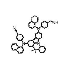 CC1(C)c2ccccc2-n2c3ccc(N(c4ccc(C=N)cc4)c4cccc5c4C=CCC5)cc3c3cc(N(c4ccc(C#N)cc4)c4cccc5ccccc45)cc1c32